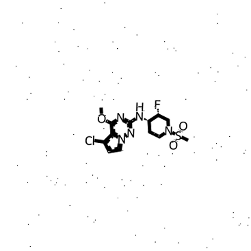 COc1nc(N[C@H]2CCN(S(C)(=O)=O)C[C@H]2F)nn2ccc(Cl)c12